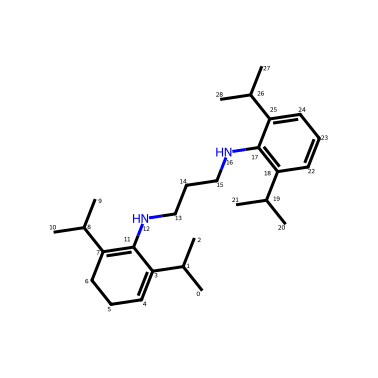 CC(C)C1=CCCC(C(C)C)=C1NCCCNc1c(C(C)C)cccc1C(C)C